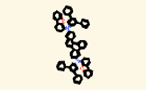 c1ccc(-c2cc(-c3ccccc3)cc(N(c3ccc4c(ccc5c6ccc(N(c7cc(-c8ccccc8)cc(-c8ccccc8)c7)c7cccc8c7oc7ccccc78)cc6c6ccccc6c45)c3)c3cccc4c3oc3ccccc34)c2)cc1